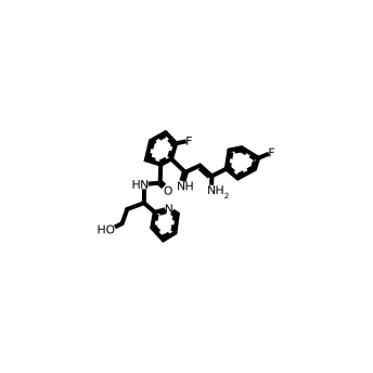 N=C(/C=C(\N)c1ccc(F)cc1)c1c(F)cccc1C(=O)NC(CCO)c1ccccn1